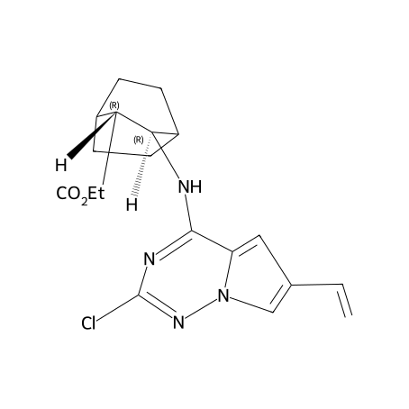 C=Cc1cc2c(N[C@@H]3C4CCC(CC4)[C@H]3C(=O)OCC)nc(Cl)nn2c1